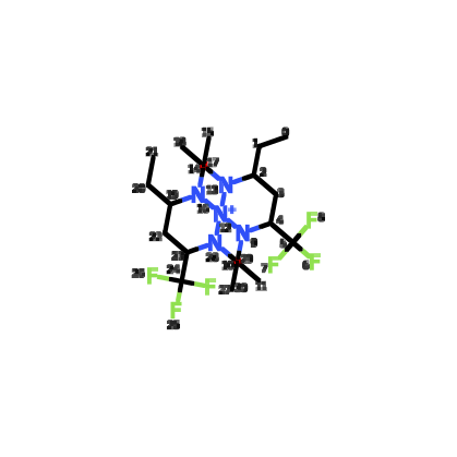 CCC1CC(C(F)(F)F)N(CC)[N+]2(N1CC)N(CC)C(CC)CC(C(F)(F)F)N2CC